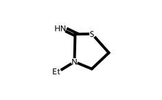 CCN1CCSC1=N